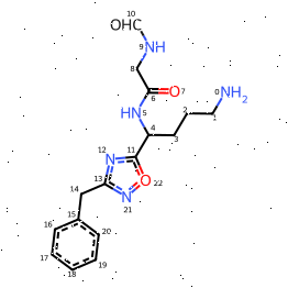 NCCCC(NC(=O)CNC=O)c1nc(Cc2ccccc2)no1